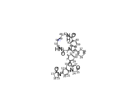 O=C1Cn2c(-c3ccc(OCc4cc(N5CCCC5=O)ccc4N4CCOCC4)cc3)c(C3CCCCC3)c3ccc(cc32)C(=O)NCC/C=C/CCN1